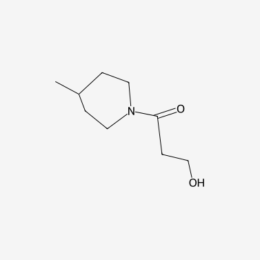 CC1CCN(C(=O)CCO)CC1